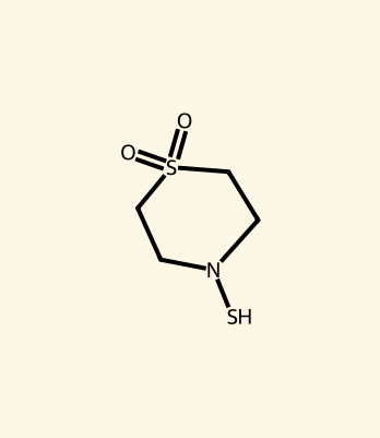 O=S1(=O)CCN(S)CC1